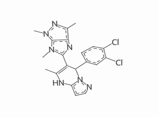 CC1=C(c2nc3c(C)nn(C)c3n2C)C(c2ccc(Cl)c(Cl)c2)n2nccc2N1